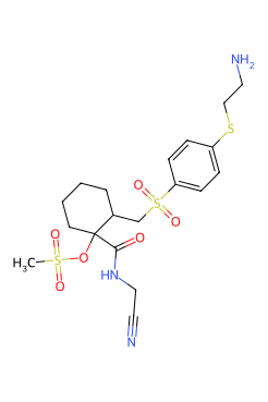 CS(=O)(=O)OC1(C(=O)NCC#N)CCCCC1CS(=O)(=O)c1ccc(SCCN)cc1